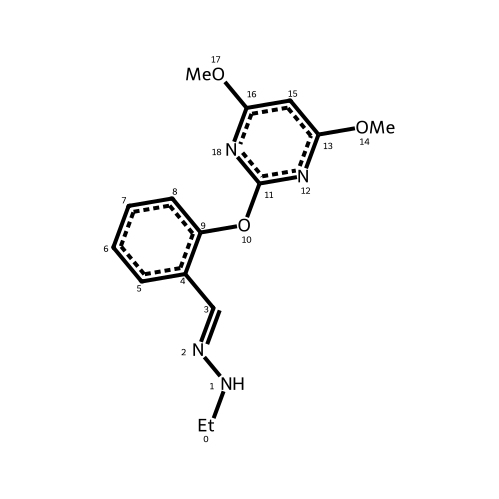 CCNN=Cc1ccccc1Oc1nc(OC)cc(OC)n1